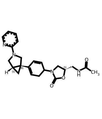 CC(=O)NC[C@H]1CN(C2C=CC([C@@]34C[C@@H]3CN(c3ccccn3)C4)=CC2)C(=O)O1